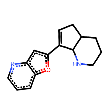 C1=C(c2cc3ncccc3o2)C2NCCCC2C1